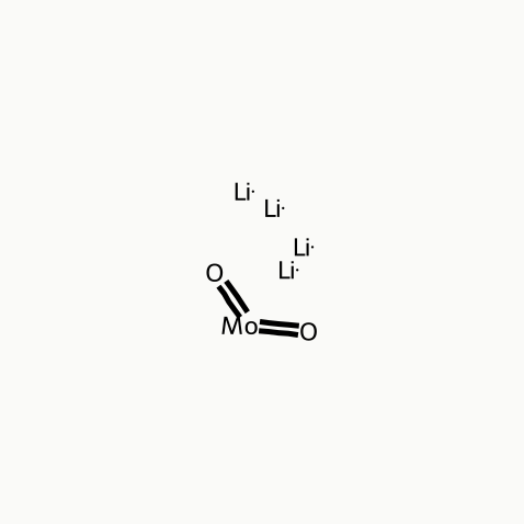 [Li].[Li].[Li].[Li].[O]=[Mo]=[O]